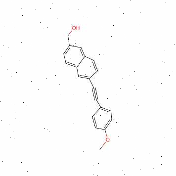 COc1ccc(C#Cc2ccc3cc(CO)ccc3c2)cc1